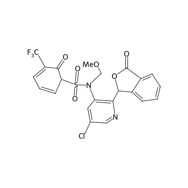 COCN(c1cc(Cl)cnc1C1OC(=O)c2ccccc21)S(=O)(=O)C1C=CC=C(C(F)(F)F)C1=O